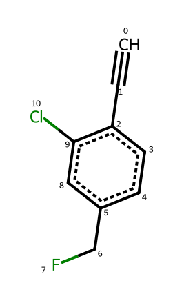 C#Cc1ccc(CF)cc1Cl